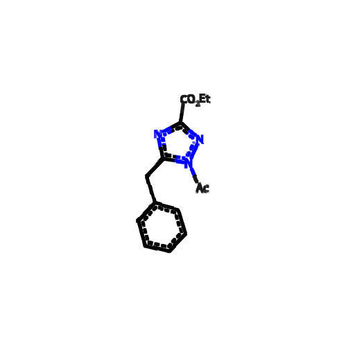 CCOC(=O)c1nc(Cc2ccccc2)n(C(C)=O)n1